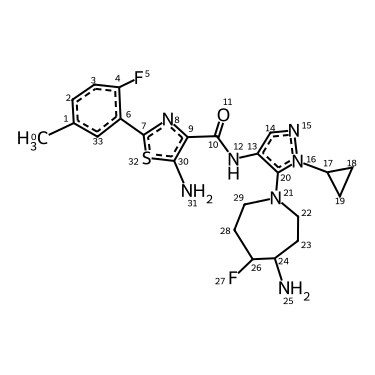 Cc1ccc(F)c(-c2nc(C(=O)Nc3cnn(C4CC4)c3N3CCC(N)C(F)CC3)c(N)s2)c1